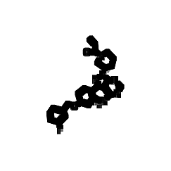 C=CC(=O)N1CCC[C@@H](n2nc(-c3ccc(OCc4cccc(F)c4)cc3C)c3c(N)ncnc32)C1